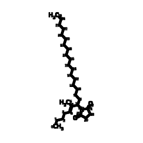 CCCCC=C(C)C(CCCCCCCCCCCCCCCCCC)N1C(=O)CCC1=O